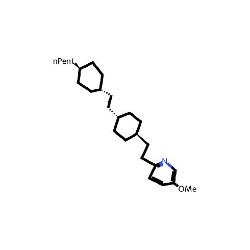 CCCCC[C@H]1CC[C@H](CC[C@H]2CC[C@H](CCc3ccc(OC)cn3)CC2)CC1